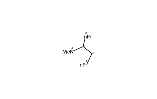 [CH2]CCC(CCCC)NC